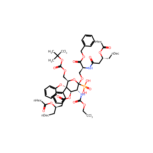 CCCCCCCCCCC[C@H](CC(=O)N[C@@H](CO[C@]1(P(=O)(O)O)O[C@H](COC(=O)OC(C)(C)C(Cl)(Cl)Cl)[C@](Oc2ccccc2)(c2ccccc2)[C@H](OC(=O)C[C@@H](CCCCCCCCCCC)OC(=O)CCCCCC)[C@H]1NC(=O)OCC(Cl)(Cl)Cl)C(=O)OCc1ccccc1)OC(=O)CCCCCC